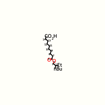 CCCCC(CC)COC(=O)CCCCCCCCC(=O)O